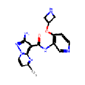 Nc1nn2ccc(C(F)(F)F)nc2c1C(=O)Nc1cnccc1OC1CNC1